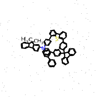 CC1(C)c2ccccc2-c2ccc(N(c3ccc(-c4ccccc4)cc3)c3ccc(-c4cccc5c4sc4c(-c6ccc(C7(c8ccc(-c9ccccc9)cc8)c8ccccc8-c8ccccc87)cc6)cccc45)cc3)cc21